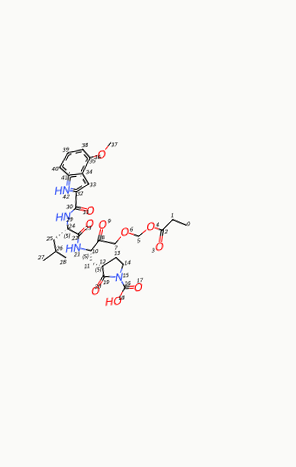 CCC(=O)OCOCC(=O)[C@H](C[C@@H]1CCN(C(=O)O)C1=O)NC(=O)[C@H](CC(C)C)NC(=O)c1cc2c(OC)cccc2[nH]1